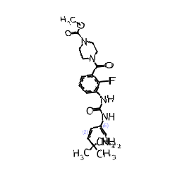 COC(=O)N1CCN(C(=O)c2cccc(NC(=O)NC(/C=C\C(C)(C)C)=C/N)c2F)CC1